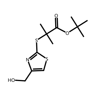 CC(C)(C)OC(=O)C(C)(C)Sc1nc(CO)cs1